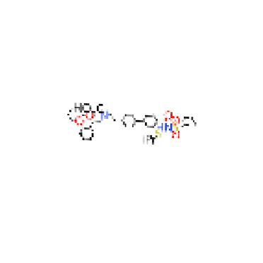 CC(C)Sc1cc(-c2ccc(CCN(C[C@H](OC3CCCCO3)c3ccccc3)C(=O)O)cc2)ccc1C(=O)NS(=O)(=O)CC#N